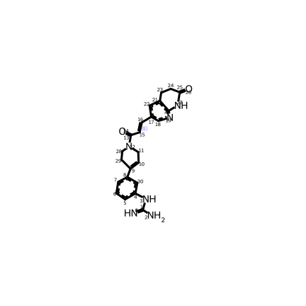 N=C(N)Nc1cccc(C2=CCN(C(=O)/C=C/c3cnc4c(c3)CCC(=O)N4)CC2)c1